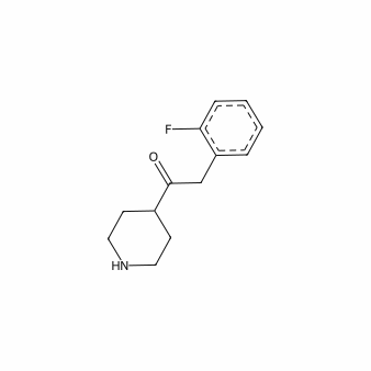 O=C(Cc1ccccc1F)C1CCNCC1